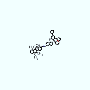 CC1(C)C2=C(c3ccccc31)C(C)(C)c1cc(/C=C/c3ccc4cc(N(c5ccccc5)c5c(F)cc(-c6ccccc6)cc5-c5ccccc5)ccc4c3)ccc12